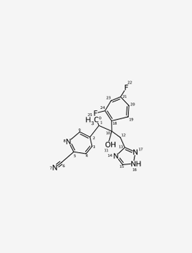 CC(c1ccc(C#N)nc1)C(O)(Cc1nc[nH]n1)c1ccc(F)cc1F